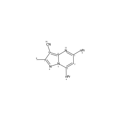 CCCc1cc(CCC)n2nc(C)c(C#N)c2n1